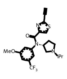 C#Cc1nc(C(=O)N(c2cc(OC)cc(C(F)(F)F)c2)[C@@H]2CCN(C(C)C)C2)cs1